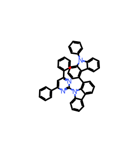 c1ccc(-c2cc(-c3ccccc3)nc(-n3c4ccccc4c4cccc(-c5cccc6c5c5ccccc5n6-c5ccccc5)c43)n2)cc1